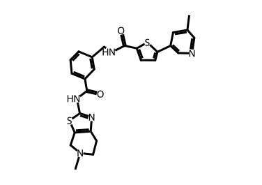 Cc1cncc(-c2ccc(C(=O)NCc3cccc(C(=O)Nc4nc5c(s4)CN(C)CC5)c3)s2)c1